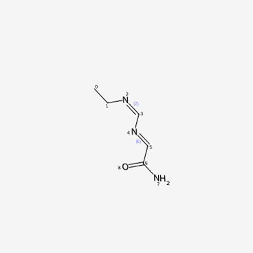 CC/N=C\N=C\C(N)=O